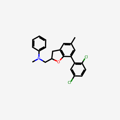 Cc1cc2c(c(-c3cc(Cl)ccc3Cl)c1)OC(CN(C)c1ccccc1)C2